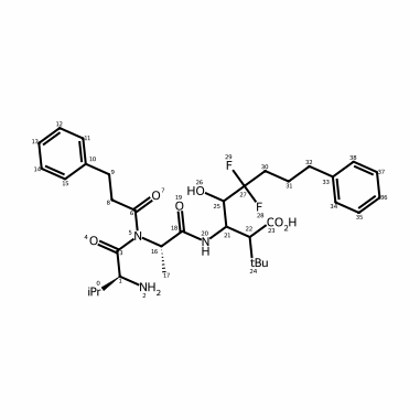 CC(C)[C@H](N)C(=O)N(C(=O)CCc1ccccc1)[C@@H](C)C(=O)NC(C(C(=O)O)C(C)(C)C)C(O)C(F)(F)CCCc1ccccc1